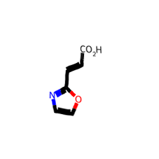 O=C(O)/C=C/c1ncco1